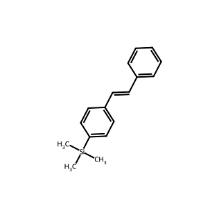 C[Si](C)(C)c1ccc(C=Cc2ccccc2)cc1